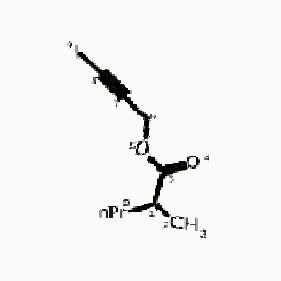 CCCC(C)C(=O)OCC#CI